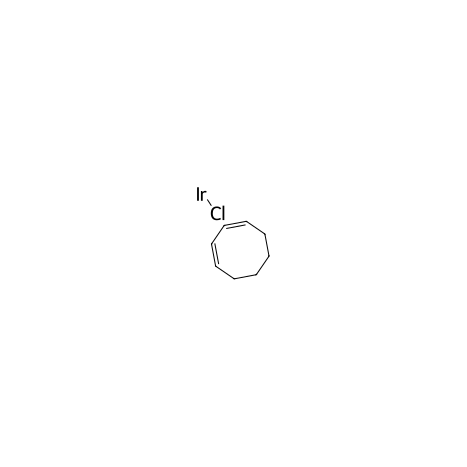 C1=CCCCCC=C1.[Cl][Ir]